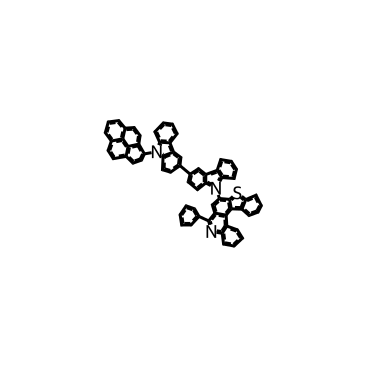 c1ccc(-c2nc3ccccc3c3c2cc(-n2c4ccccc4c4cc(-c5ccc6c(c5)c5ccccc5n6-c5ccc6ccc7cccc8ccc5c6c78)ccc42)c2sc4ccccc4c23)cc1